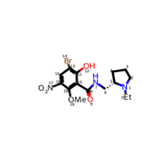 CCN1CCC[C@H]1CNC(=O)c1c(O)c(Br)cc([N+](=O)[O-])c1OC